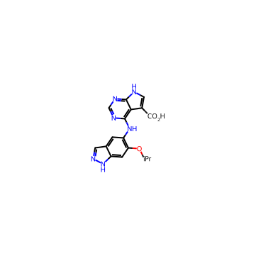 CC(C)Oc1cc2[nH]ncc2cc1Nc1ncnc2[nH]cc(C(=O)O)c12